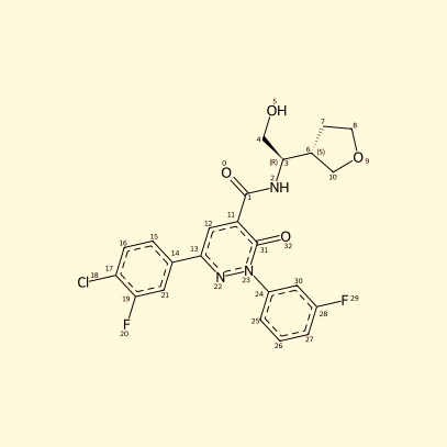 O=C(N[C@@H](CO)[C@@H]1CCOC1)c1cc(-c2ccc(Cl)c(F)c2)nn(-c2cccc(F)c2)c1=O